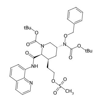 CC(C)(C)OC(=O)N1C[C@H](N(OCc2ccccc2)C(=O)OC(C)(C)C)C[C@@H](CCOS(C)(=O)=O)[C@H]1C(=O)Nc1cccc2cccnc12